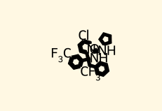 O=C(NC1CCCC1)NC(Cc1ccccc1)(c1ccc(Cl)cn1)c1cc(C(F)(F)F)ccc1C(F)(F)F